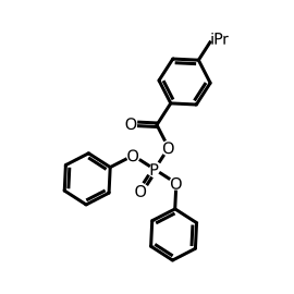 CC(C)c1ccc(C(=O)OP(=O)(Oc2ccccc2)Oc2ccccc2)cc1